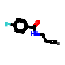 CCCNC(=O)c1c[c]c(F)cc1